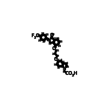 O=C(O)Cn1ccc2cc(OCCCOc3cccc4c3CN(c3ccc(C(F)(F)F)cc3)C4=O)ccc21